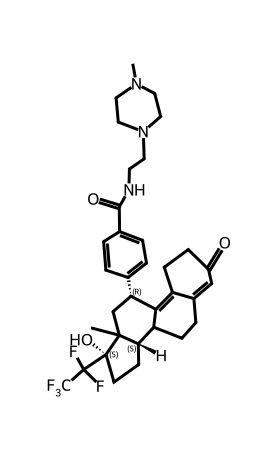 CN1CCN(CCNC(=O)c2ccc([C@H]3CC4(C)[C@@H](CC[C@@]4(O)C(F)(F)C(F)(F)F)C4CCC5=CC(=O)CCC5=C43)cc2)CC1